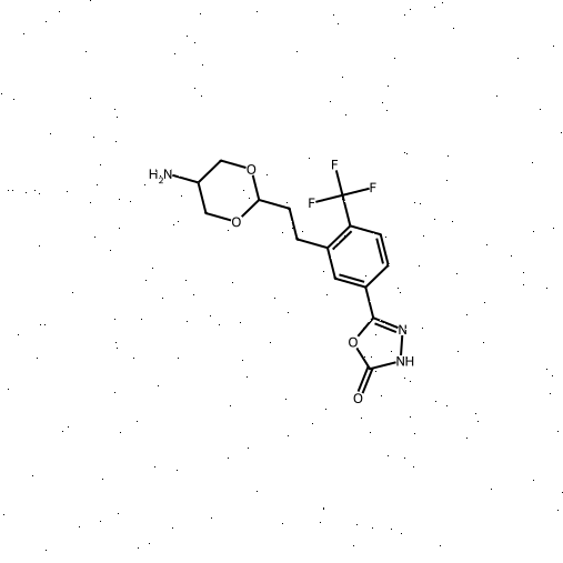 NC1COC(CCc2cc(-c3n[nH]c(=O)o3)ccc2C(F)(F)F)OC1